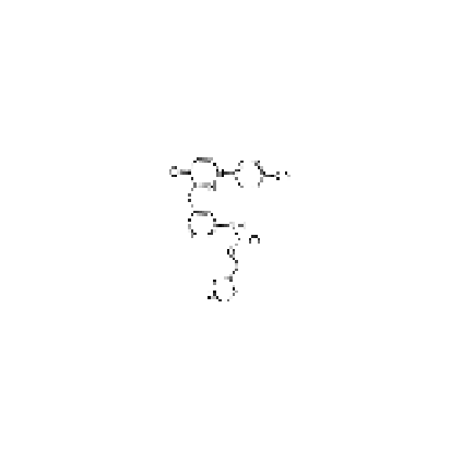 N#Cc1ccc(-n2ccc(=O)c(Cc3cccc(NC(=O)OCC4CCOC4)c3)n2)cc1